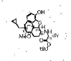 CO[C@@]12CC[C@@H](N[C@@H](C(=O)OC(C)(C)C)C(C)C)[C@@H]3Oc4c(O)ccc5c4[C@@]31CCN(CC1CC1)[C@@H]2C5